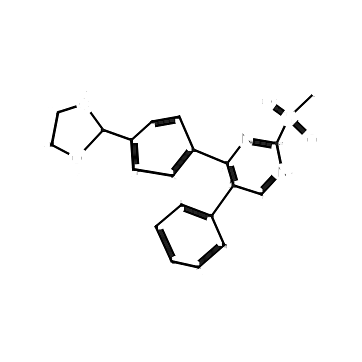 CS(=O)(=O)c1ncc(-c2ccccc2)c(-c2ccc(C3OCCO3)cc2)n1